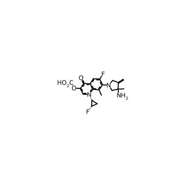 C=C1CN(c2c(F)cc3c(=O)c(OC(=O)O)cn([C@@H]4C[C@@H]4F)c3c2C)CC1(C)N